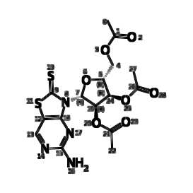 CC(=O)OC[C@H]1O[C@@H](n2c(=S)sc3cnc(N)nc32)[C@H](OC(C)=O)[C@@H]1OC(C)=O